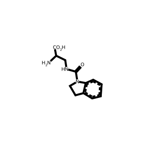 NC(CNC(=O)N1CCc2ccccc21)C(=O)O